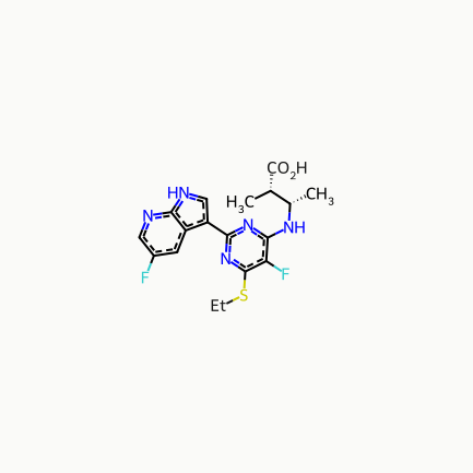 CCSc1nc(-c2c[nH]c3ncc(F)cc23)nc(N[C@@H](C)[C@H](C)C(=O)O)c1F